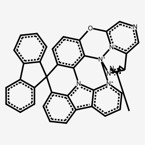 Cc1cc2n(n1)[N+]13c4c(ccc5c4-n4c6c(cccc6c6ccc[n+]1c64)C51c4ccccc4-c4ccccc41)Oc1cncc-2[n+]13